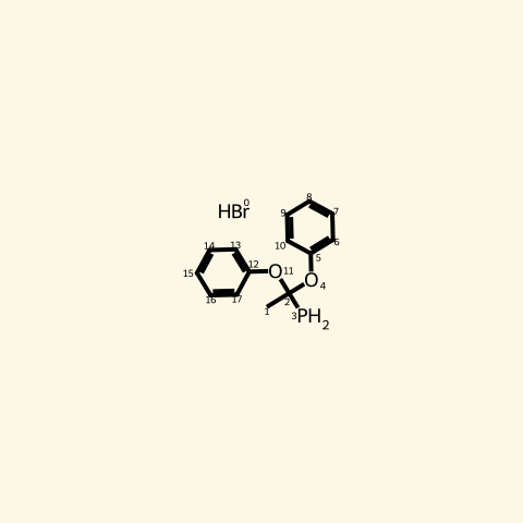 Br.CC(P)(Oc1ccccc1)Oc1ccccc1